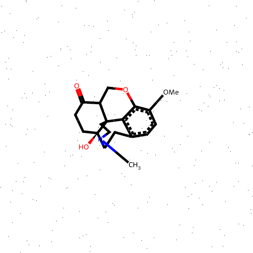 COc1ccc2c3c1OCC1C(=O)CC[C@@]4(O)C(C2)N(C)CCC314